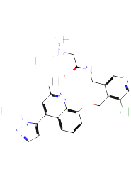 Cc1cc(-c2ccnn2C)c2cccc(OCc3c(Cl)cncc3CNC(=O)CN(C)C)c2n1